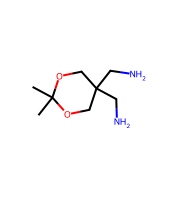 CC1(C)OCC(CN)(CN)CO1